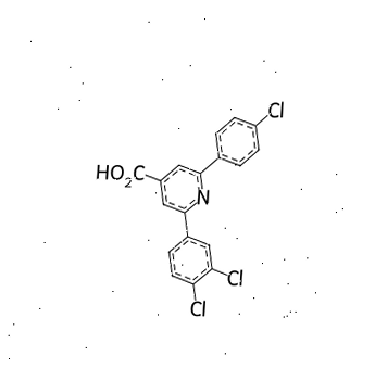 O=C(O)c1cc(-c2ccc(Cl)cc2)nc(-c2ccc(Cl)c(Cl)c2)c1